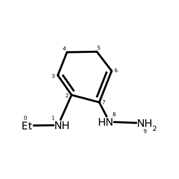 CCNC1=CCCC=C1NN